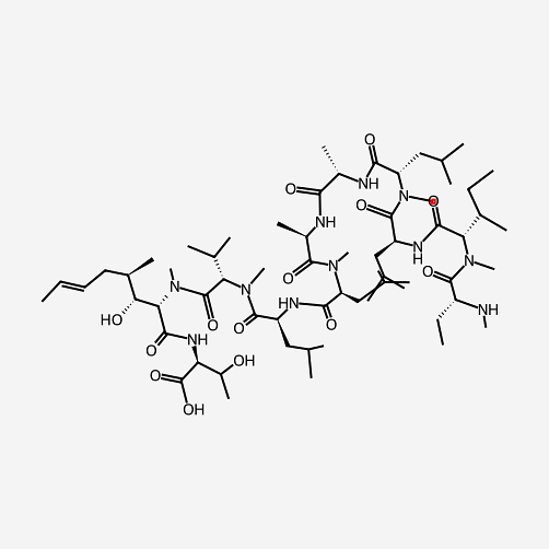 CC=CC[C@@H](C)[C@@H](O)[C@@H](C(=O)N[C@H](C(=O)O)C(C)O)N(C)C(=O)[C@H](C(C)C)N(C)C(=O)[C@H](CC(C)C)NC(=O)[C@H](CC(C)C)N(C)C(=O)[C@@H](C)NC(=O)[C@H](C)NC(=O)[C@H](CC(C)C)N(C)C(=O)[C@H](CC(C)C)NC(=O)[C@H](C(C)CC)N(C)C(=O)[C@@H](CC)NC